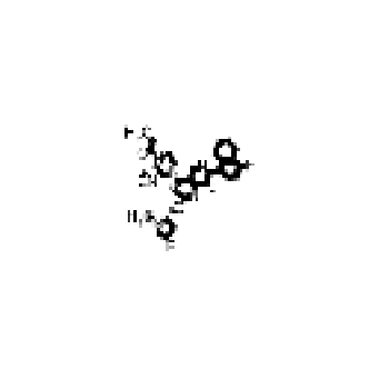 C=CC(=O)N1CCN(c2nc(OC[C@@H]3C[C@@H](F)CN3C)nc3c(F)c(-c4ccc(F)c5c4CCCC5)ncc23)C[C@@H]1CC#N